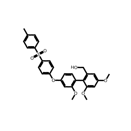 COc1cc(CO)c(-c2ccc(Oc3ccc(S(=O)(=O)c4ccc(C)cc4)cc3)cc2OC)c(OC)c1